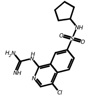 N=C(N)Nc1ncc(Cl)c2ccc(S(=O)(=O)NC3CCCC3)cc12